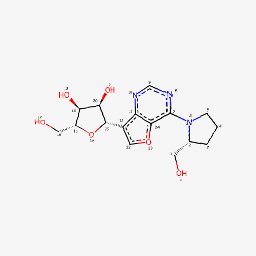 OC[C@H]1CCCN1c1ncnc2c([C@@H]3O[C@H](CO)[C@@H](O)[C@H]3O)coc12